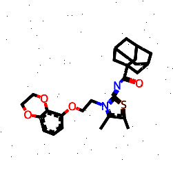 Cc1sc(=NC(=O)C23CC4CC(CC(C4)C2)C3)n(CCOc2cccc3c2OCCO3)c1C